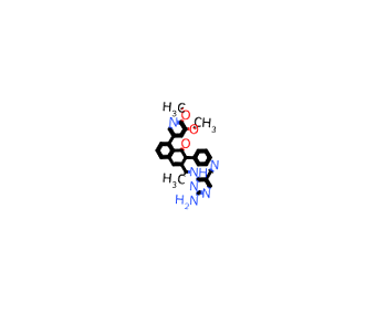 COc1cc(-c2cccc3c2C(=O)C(c2ccccc2)C([C@H](C)Nc2nc(N)ncc2C#N)=C3)cnc1OC